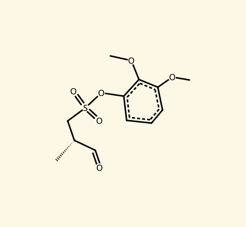 COc1cccc(OS(=O)(=O)C[C@@H](C)C=O)c1OC